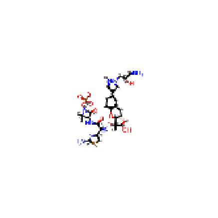 C[n+]1cc(-c2ccc3c(c2)CCC(C(C)(O/N=C(\C(=O)NC2C(=O)N(OS(=O)(=O)[O-])C2(C)C)c2csc(N)n2)C(=O)O)O3)cn1C[C@H](O)CN